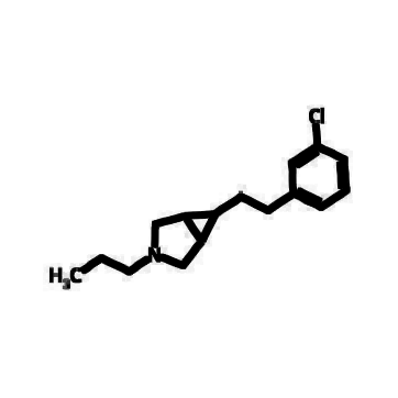 CCCN1CC2C([CH]Cc3cccc(Cl)c3)C2C1